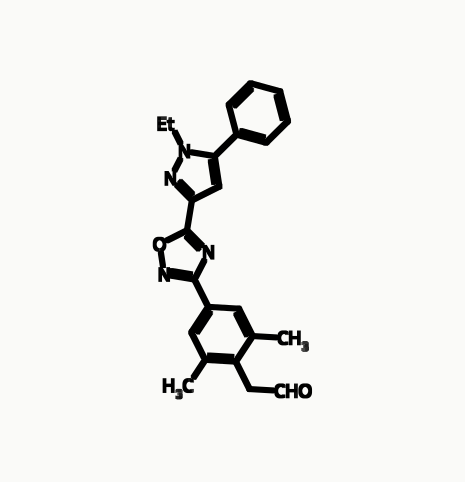 CCn1nc(-c2nc(-c3cc(C)c(CC=O)c(C)c3)no2)cc1-c1ccccc1